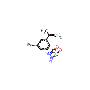 C=C(C)c1cccc(C(C)C)c1.N=C=O.N=C=O